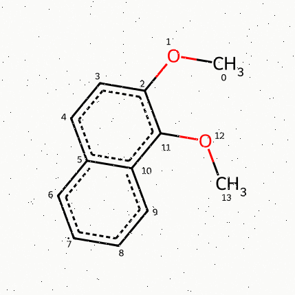 COc1ccc2c[c]ccc2c1OC